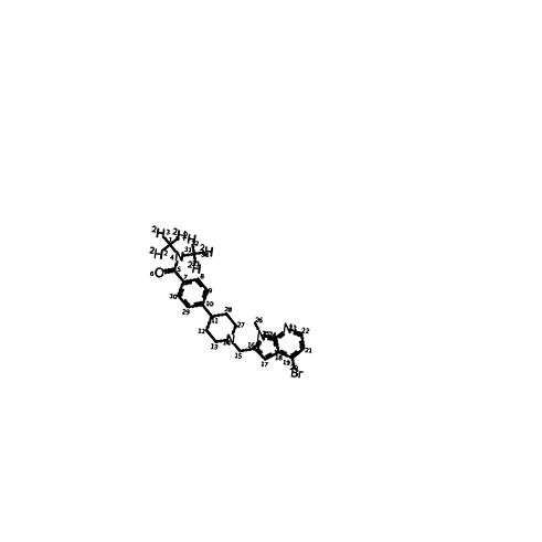 [2H]C([2H])([2H])N(C(=O)c1ccc(C2CCN(Cc3cc4c(Br)ccnc4n3C)CC2)cc1)C([2H])([2H])[2H]